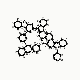 c1ccc(-n2c3ccccc3c3c4ccc5c6c7ccccc7n(-c7nc(-c8cccc(-c9cccc%10ccccc9%10)c8)c8c(n7)sc7ccccc78)c6cc6c5c4c(cc32)n6-c2ccccc2)cc1